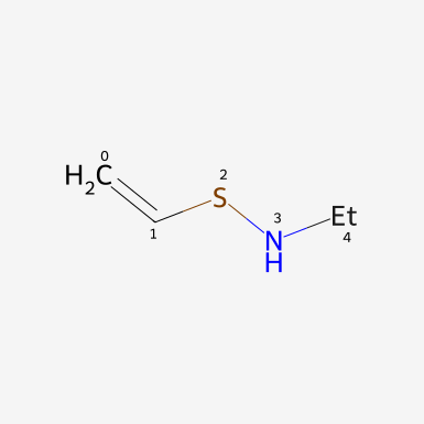 C=CSNCC